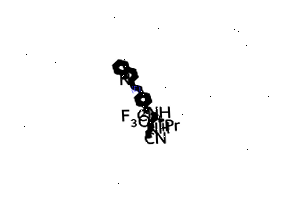 CC(C)C[C@H](N[C@@H](c1ccc(/C=C/c2ccc3ccccc3n2)cc1)C(F)(F)F)C(=O)NCC#N